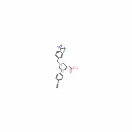 C#Cc1ccc([C@@H]2C[C@@H](CC(=O)O)CN(Cc3ccc(C4(C(F)(F)F)N=N4)cc3)C2)cc1